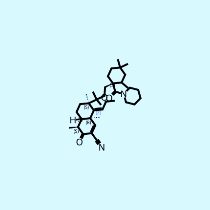 CC(=O)/C=C1/[C@@]2(C)C=C(C#N)C(=O)[C@@H](C)[C@@H]2CC[C@@]1(C)C(C)(C)CC[C@@]1(C(=O)N2CCCCC2)CCC(C)(C)CC1C